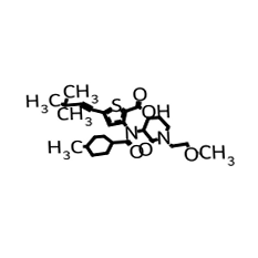 COCCN1CCCC(N(C(=O)C2CCC(C)CC2)c2cc(C#CC(C)(C)C)sc2C(=O)O)C1=O